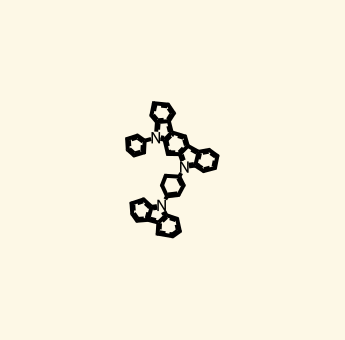 C1=C(n2c3ccccc3c3ccccc32)CCC(n2c3ccccc3c3cc4c5ccccc5n(-c5ccccc5)c4cc32)=C1